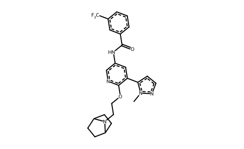 Cn1nccc1-c1cc(NC(=O)c2cccc(C(F)(F)F)c2)cnc1OCCN1C2CCC1CC2